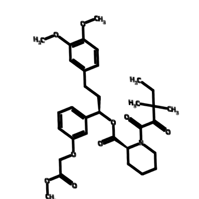 CCC(C)(C)C(=O)C(=O)N1CCCC[C@H]1C(=O)O[C@H](CCc1ccc(OC)c(OC)c1)c1cccc(OCC(=O)OC)c1